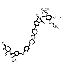 CCOc1cc([C@@H](CS(C)(=O)=O)N2C(=O)c3ccc(N4CCC(F)(CN5CCC(c6ccc(Oc7ccc8c(N9CCC(=O)NC9=O)nn(C)c8c7)cc6)CC5)CC4)cc3C2=O)ccc1OC